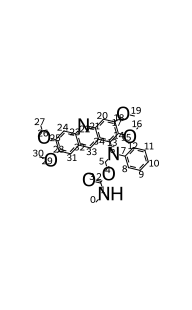 CNC(=O)OCN(c1ccccc1)c1c(OC)c(OC)cc2nc3cc(OC)c(OC)cc3cc12